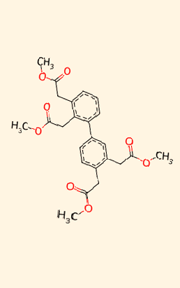 COC(=O)Cc1ccc(-c2cccc(CC(=O)OC)c2CC(=O)OC)cc1CC(=O)OC